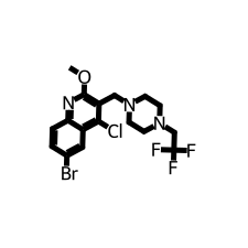 COc1nc2ccc(Br)cc2c(Cl)c1CN1CCN(CC(F)(F)F)CC1